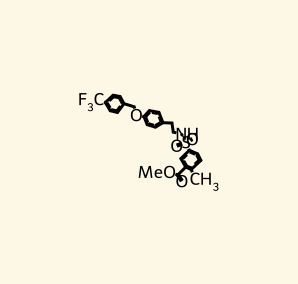 COC(=O)c1cc(S(=O)(=O)NCCc2ccc(OCc3ccc(C(F)(F)F)cc3)cc2)ccc1C